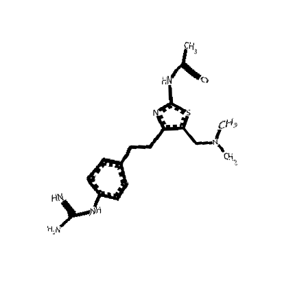 CC(=O)Nc1nc(CCc2ccc(NC(=N)N)cc2)c(CN(C)C)s1